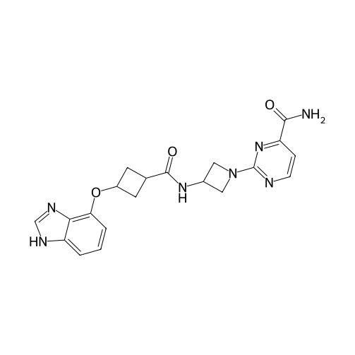 NC(=O)c1ccnc(N2CC(NC(=O)C3CC(Oc4cccc5[nH]cnc45)C3)C2)n1